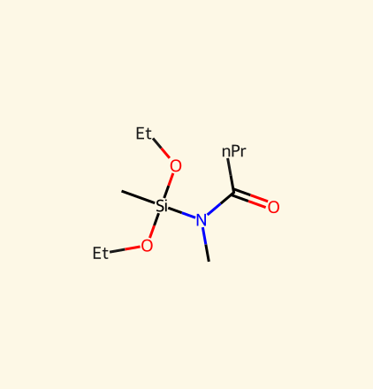 CCCC(=O)N(C)[Si](C)(OCC)OCC